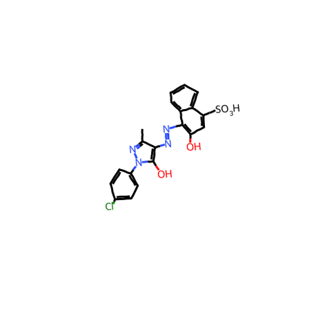 Cc1nn(-c2ccc(Cl)cc2)c(O)c1/N=N/c1c(O)cc(S(=O)(=O)O)c2ccccc12